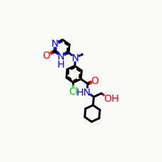 CN(c1ccc(Cl)c(C(=O)NC(CO)C2CCCCC2)c1)c1ccnc(=O)[nH]1